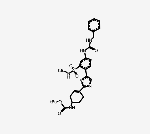 CC(C)(C)NS(=O)(=O)c1cc(NC(=O)NCc2ccccc2)ccc1-c1cnc(C2=CCC(NC(=O)OC(C)(C)C)CC2)s1